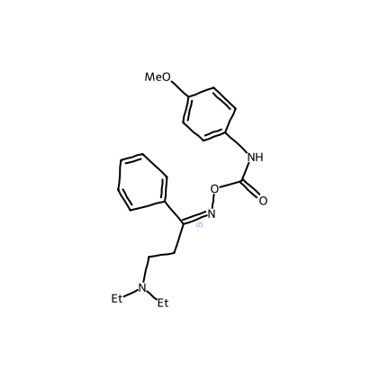 CCN(CC)CC/C(=N/OC(=O)Nc1ccc(OC)cc1)c1ccccc1